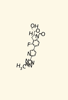 Cn1nnc(-c2ccc(-c3ccc4c(c3F)C[C@H]3[C@H](CO)OC(=O)N43)cn2)n1